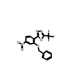 O=[N+]([O-])c1ccc(-c2nnc(C(F)(F)F)o2)c(SCc2ccccc2)c1